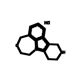 Cl.c1cc2c3c(c1)c1c(n3CCOC2)CCNC1